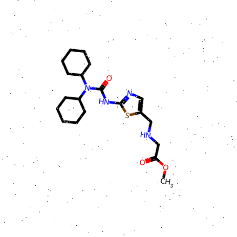 COC(=O)CNCc1cnc(NC(=O)N(C2CCCCC2)C2CCCCC2)s1